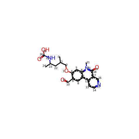 CC(COc1cc2c(cc1C=O)c1ccncc1c(=O)n2C)CC(C)NC(=O)O